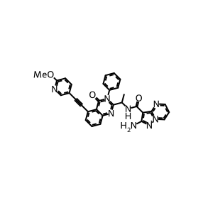 COc1ccc(C#Cc2cccc3nc(C(C)NC(=O)c4c(N)nn5cccnc45)n(-c4ccccc4)c(=O)c23)cn1